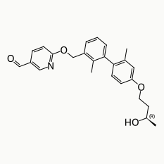 Cc1cc(OCC[C@@H](C)O)ccc1-c1cccc(COc2ccc(C=O)cn2)c1C